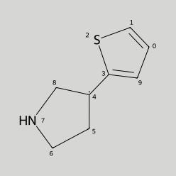 c1csc([C]2CCNC2)c1